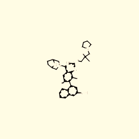 CC(C)(COc1nc(N2CC3CCC(C2)N3)c2cc(Cl)c(-c3cc(O)cc4ccccc34)c(F)c2n1)CN1CCCC1